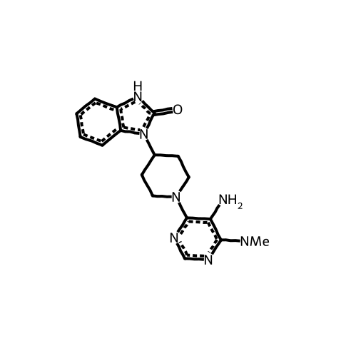 CNc1ncnc(N2CCC(n3c(=O)[nH]c4ccccc43)CC2)c1N